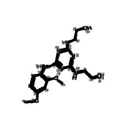 COc1ccc(Nc2nc(NCCO)nc(NCCO)n2)c(OC)c1